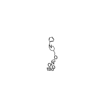 CC(C)(C)OC(=O)N1CC(OCCC2CCN(Cc3ccccc3)CC2)C1